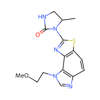 COCCn1cnc2ccc3sc(N4C(=O)NCC4C)nc3c21